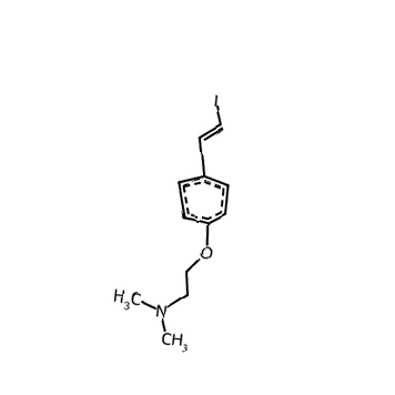 CN(C)CCOc1ccc(C=CI)cc1